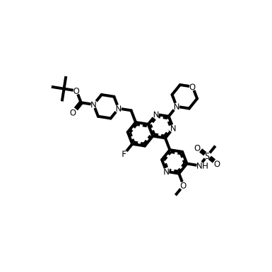 COc1ncc(-c2nc(N3CCOCC3)nc3c(CN4CCN(C(=O)OC(C)(C)C)CC4)cc(F)cc23)cc1NS(C)(=O)=O